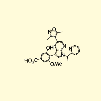 COc1cc(C(=O)O)cc(O)c1-c1cn(C(C)c2ccccn2)c2ncc(-c3c(C)noc3C)cc12